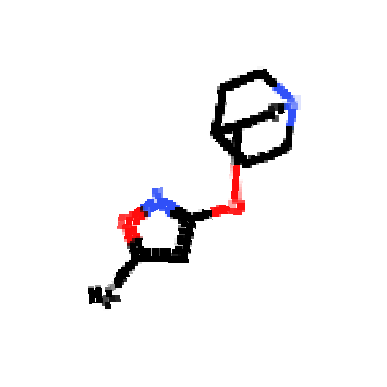 Cc1cc(OC2CN3CCC2CC3)no1